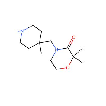 CC1(CN2CCOC(C)(C)C2=O)CCNCC1